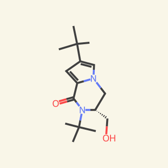 CC(C)(C)c1cc2n(c1)C[C@H](CO)N(C(C)(C)C)C2=O